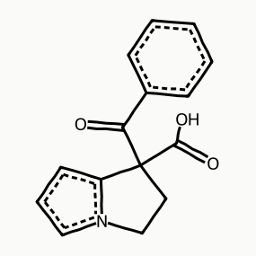 O=C(O)C1(C(=O)c2ccccc2)CCn2cccc21